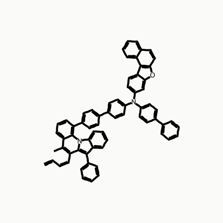 C=C/C=C\c1c(C)c2cccc(-c3ccc(-c4ccc(N(c5ccc(-c6ccccc6)cc5)c5ccc6c(c5)oc5ccc7ccccc7c56)cc4)cc3)c2n2c1c(-c1ccccc1)c1ccccc12